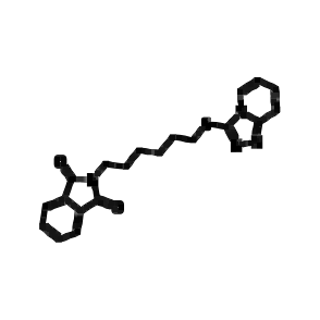 O=C1c2ccccc2C(=O)N1CCCCCCSc1nnc2ccccn12